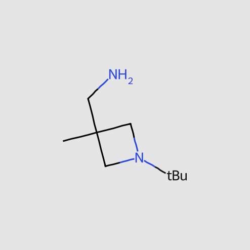 CC1(CN)CN(C(C)(C)C)C1